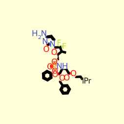 CC(C)CCOC(=O)C[C@H](NP(=O)(OC[C@H]1O[C@@H](n2ccc(N)nc2=O)C(F)(F)C1C)Oc1ccccc1)C(=O)OCc1ccccc1